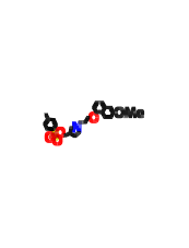 COc1ccc2c(OCCCN3CCC(COS(=O)(=O)c4ccc(C)cc4)C3)cccc2c1